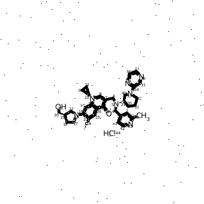 Cc1cc(CN(Cc2cn(C3CC3)c3cc(N4CC[C@@H](CO)C4)c(F)cc3c2=O)[C@H]2CCCN(c3cnccn3)C2)ccn1.Cl